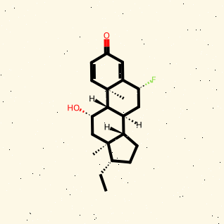 CC[C@H]1CC[C@H]2[C@@H]3C[C@@H](F)C4=CC(=O)C=C[C@]4(C)[C@H]3[C@@H](O)C[C@]12C